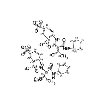 CC(=O)C(N=Nc1ccc(S(=O)(=O)[O-])cc1[N+](=O)[O-])C(=O)Nc1ccccc1.CC(=O)C(N=Nc1ccc(S(=O)(=O)[O-])cc1[N+](=O)[O-])C(=O)Nc1ccccc1.[Ca+2]